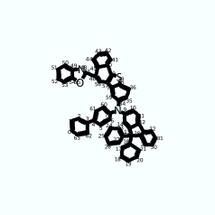 c1ccc(-c2ccc(N(c3ccc4c(c3)C(c3ccccc3)(c3ccccc3)c3ccccc3-4)c3ccc4sc5c6ccccc6c(-c6nc7ccccc7o6)cc5c4c3)cc2)cc1